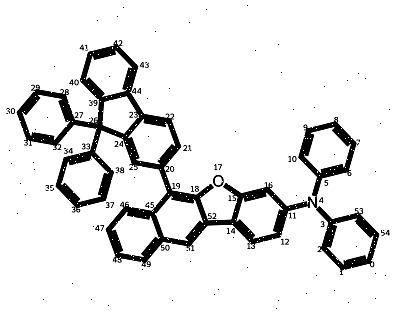 c1ccc(N(c2ccccc2)c2ccc3c(c2)oc2c(-c4ccc5c(c4)C(c4ccccc4)(c4ccccc4)c4ccccc4-5)c4ccccc4cc23)cc1